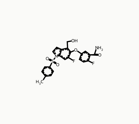 Cc1ccc(S(=O)(=O)n2ccc3c(CO)c(Oc4ccc(F)c(C(N)=O)c4)c(F)cc32)cc1